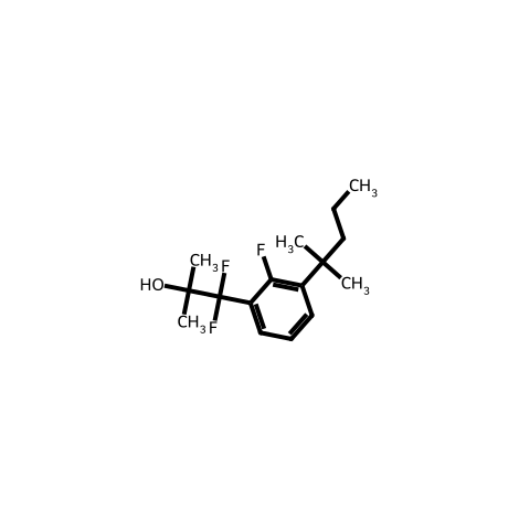 CCCC(C)(C)c1cccc(C(F)(F)C(C)(C)O)c1F